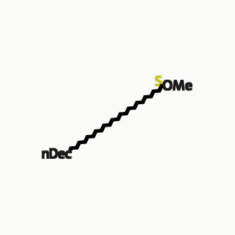 CCCCCCCCCCCCCCCCCCCCCCCCCCCCCCCCC(=S)OC